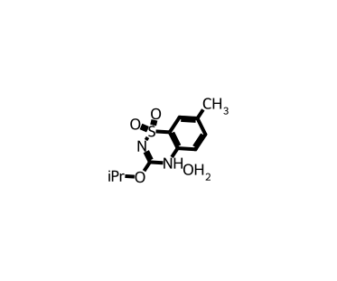 Cc1ccc2c(c1)S(=O)(=O)N=C(OC(C)C)N2.O